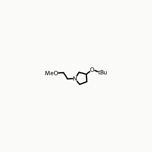 COCCN1CCC(OC(C)(C)C)C1